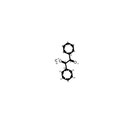 O=C(C(=O)c1ccccc1)c1ccccc1.[C]